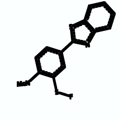 CNc1ccc(-c2nc3ccccc3s2)cc1SF